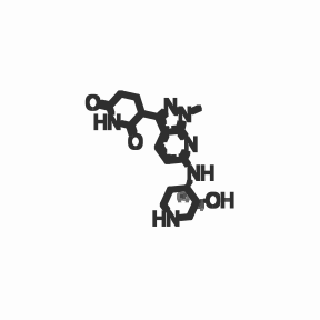 Cn1nc(C2CCC(=O)NC2=O)c2ccc(N[C@@H]3CCNC[C@H]3O)nc21